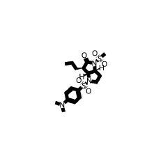 CCC[C@H]1C(=O)N(S(C)(=O)=O)[C@H]2CCN(S(=O)(=O)c3ccc(N(C)C)cc3)[C@H]12